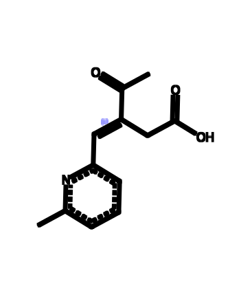 CC(=O)/C(=C/c1cccc(C)n1)CC(=O)O